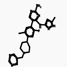 Cc1cc(Nc2nc(N)ncc2-c2cc(C)c(C3CCN(Cc4cncnc4)CC3)cc2F)n[nH]1